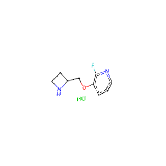 Cl.Fc1ncccc1OCC1CCN1